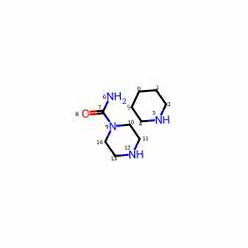 C1CCNCC1.NC(=O)N1CCNCC1